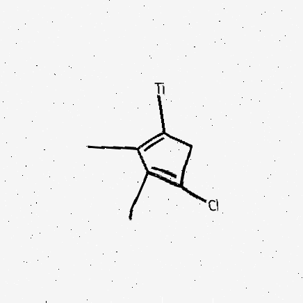 CC1=C(Cl)C[C]([Ti])=C1C